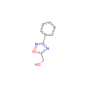 OCc1nc(-c2ccccc2)no1